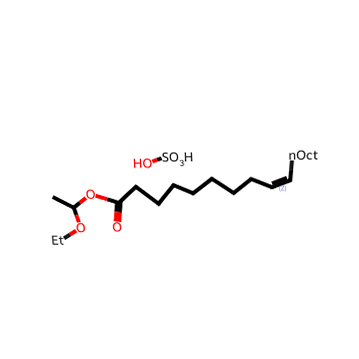 CCCCCCCC/C=C\CCCCCCCC(=O)OC(C)OCC.O=S(=O)(O)O